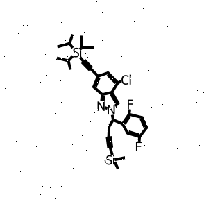 CC(C)[Si](C#Cc1cc(Cl)c2cn(C(CC#C[Si](C)(C)C)c3cc(F)ccc3F)nc2c1)(C(C)C)C(C)C